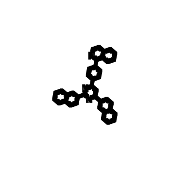 c1ccc2cc(-c3cc(-c4ccc(-c5nccc6ccccc56)cc4)nc(-c4ccc5ccccc5c4)n3)ccc2c1